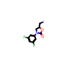 O=C1OC(CI)CN1c1cc(F)cc(F)c1